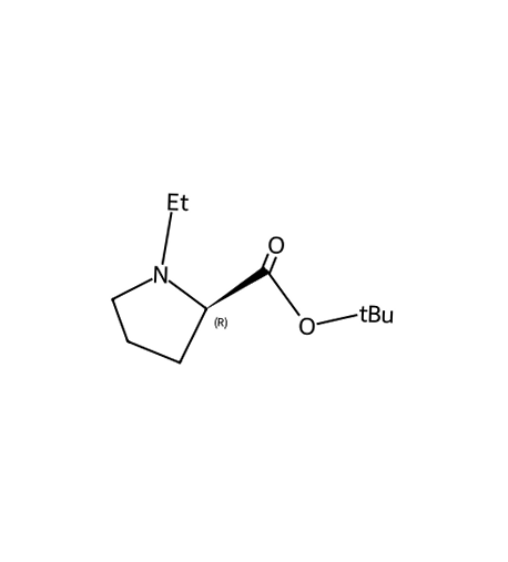 CCN1CCC[C@@H]1C(=O)OC(C)(C)C